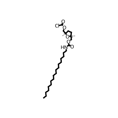 CCCCCCCCCCCCCCCCCCNC(=O)OC[C@]1(C)CC[C@](C)(COC(=O)Cl)O1